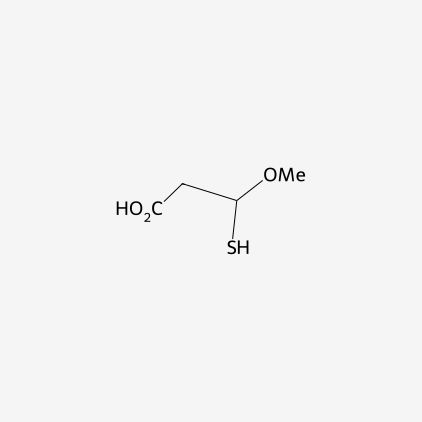 COC(S)CC(=O)O